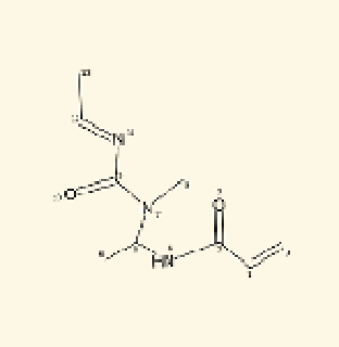 C=CC(=O)NC(C)N(C)C(=O)N=CC